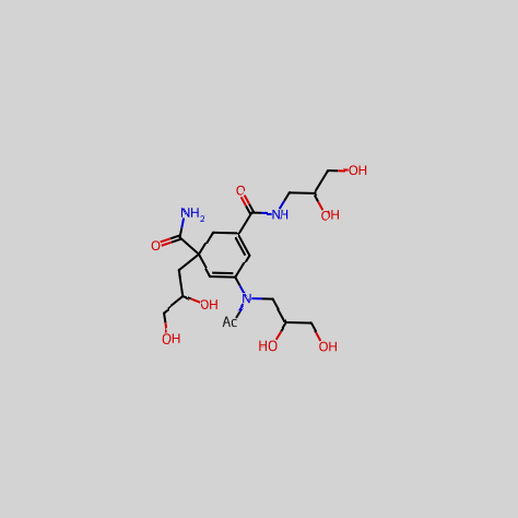 CC(=O)N(CC(O)CO)C1=CC(CC(O)CO)(C(N)=O)CC(C(=O)NCC(O)CO)=C1